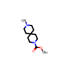 CC(C)(C)OC(=O)N1CCC2(CCN(N=O)CC2)CC1